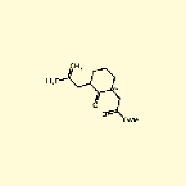 C=C(C)CC1CCC[C@@H](CC(=O)OC)C1=O